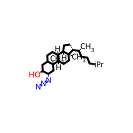 CC(C)CCC[C@@H](C)[C@H]1CC[C@H]2[C@@H]3CCC4CC(O)[C@@H](N=[N+]=[N-])C[C@]4(C)[C@H]3CC[C@]12C